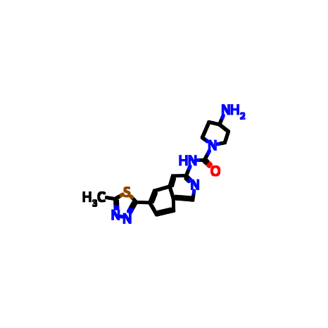 Cc1nnc(-c2ccc3cnc(NC(=O)N4CCC(N)CC4)cc3c2)s1